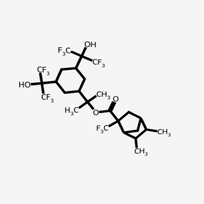 CC1C2CC(C1C)C(C(=O)OC(C)(C)C1CC(C(O)(C(F)(F)F)C(F)(F)F)CC(C(O)(C(F)(F)F)C(F)(F)F)C1)(C(F)(F)F)C2